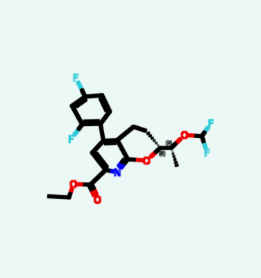 CCOC(=O)c1cc(-c2ccc(F)cc2F)c2c(n1)O[C@@H]([C@@H](C)OC(F)F)CC2